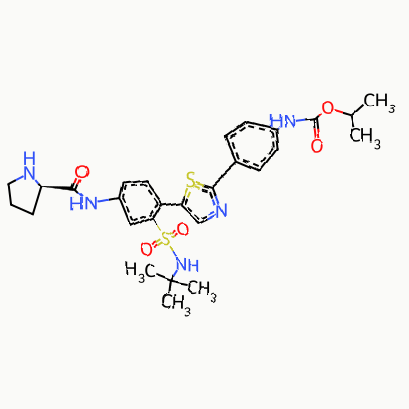 CC(C)OC(=O)Nc1ccc(-c2ncc(-c3ccc(NC(=O)[C@H]4CCCN4)cc3S(=O)(=O)NC(C)(C)C)s2)cc1